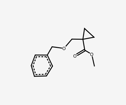 COC(=O)C1(COCc2ccccc2)CC1